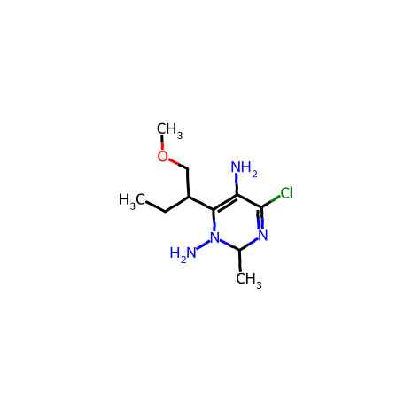 CCC(COC)C1=C(N)C(Cl)=NC(C)N1N